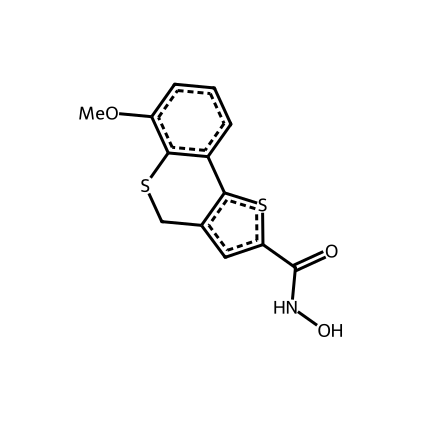 COc1cccc2c1SCc1cc(C(=O)NO)sc1-2